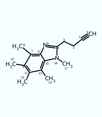 C#CCCc1nc2c(C)c(C)c(C)c(C)c2n1C